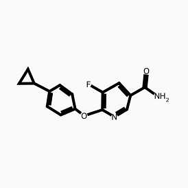 NC(=O)c1cnc(Oc2ccc(C3CC3)cc2)c(F)c1